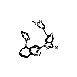 Cn1cc(-c2cc3c(-c4cc5c([nH]4)C=C=CC=C5c4cccs4)n[nH]c3cn2)cn1